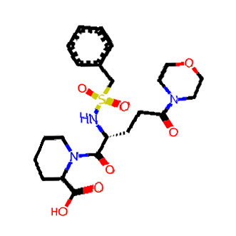 O=C(O)C1CCCCN1C(=O)[C@@H](CCC(=O)N1CCOCC1)NS(=O)(=O)Cc1ccccc1